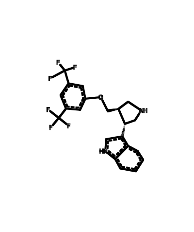 FC(F)(F)c1cc(OC[C@H]2CNC[C@@H]2c2c[nH]c3ccccc23)cc(C(F)(F)F)c1